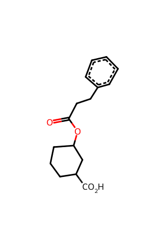 O=C(CCc1ccccc1)OC1CCCC(C(=O)O)C1